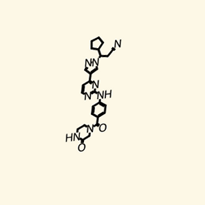 N#CCC(C1CCCC1)n1cc(-c2ccnc(Nc3ccc(C(=O)N4CCNC(=O)C4)cc3)n2)cn1